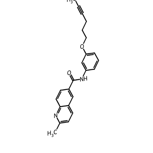 CC#CCCCOc1cccc(NC(=O)c2ccc3nc(C)ccc3c2)c1